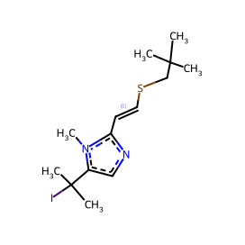 Cn1c(C(C)(C)I)cnc1/C=C/SCC(C)(C)C